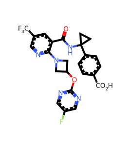 O=C(O)c1ccc(C2(NC(=O)c3cc(C(F)(F)F)cnc3N3CC(Oc4ncc(F)cn4)C3)CC2)cc1